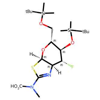 CN(C(=O)O)C1=N[C@@H]2[C@@H](F)[C@H](O[Si](C)(C)C(C)(C)C)[C@@H](CO[Si](C)(C)C(C)(C)C)O[C@@H]2S1